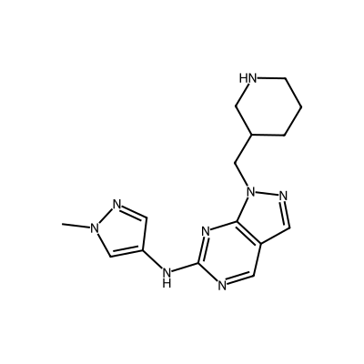 Cn1cc(Nc2ncc3cnn(CC4CCCNC4)c3n2)cn1